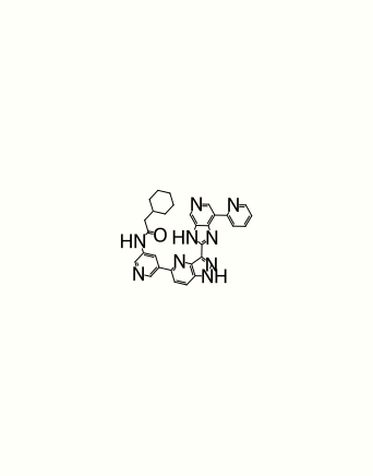 O=C(CC1CCCCC1)Nc1cncc(-c2ccc3[nH]nc(-c4nc5c(-c6ccccn6)cncc5[nH]4)c3n2)c1